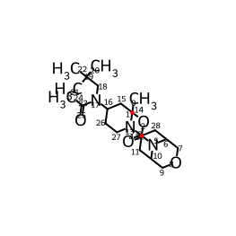 CCOC(=O)N1C2COCC1CC(N1CCC(N(CC(C)(C)C)C(C)=O)CC1)C2